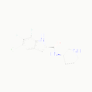 O=C(N[C@@H]1CCCNC1)c1cc2cc(Cl)c(F)c(F)c2[nH]1